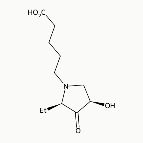 CC[C@@H]1C(=O)[C@H](O)CN1CCCCC(=O)O